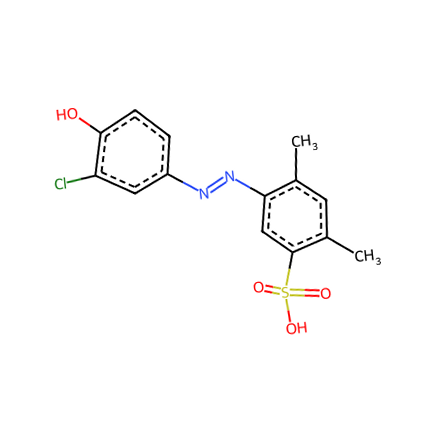 Cc1cc(C)c(S(=O)(=O)O)cc1/N=N/c1ccc(O)c(Cl)c1